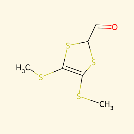 CSC1=C(SC)SC(C=O)S1